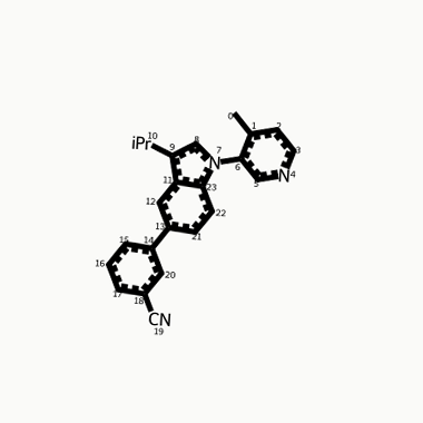 Cc1ccncc1-n1cc(C(C)C)c2cc(-c3cccc(C#N)c3)ccc21